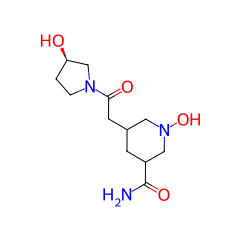 NC(=O)C1CC(CC(=O)N2CC[C@@H](O)C2)CN(O)C1